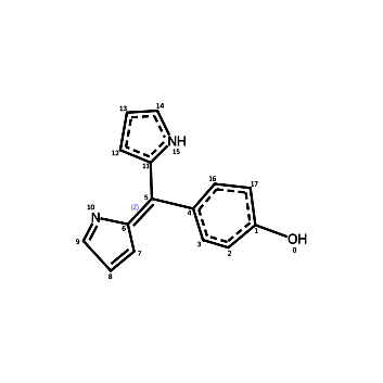 Oc1ccc(/C(=C2\C=CC=N2)c2ccc[nH]2)cc1